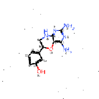 Nc1nc(N)c2c(n1)NCC(c1cccc(O)c1)O2